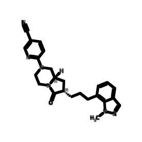 Cn1ncc2cccc(CCC[C@H]3C[C@H]4CN(c5ccc(C#N)cn5)CCN4C3=O)c21